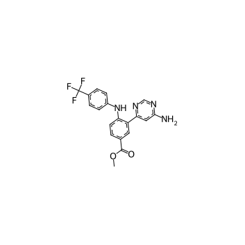 COC(=O)c1ccc(Nc2ccc(C(F)(F)F)cc2)c(-c2cc(N)ncn2)c1